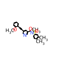 COc1ccccc1C#Cc1cncc(C(=O)N=S(C)(=O)c2ccc(C)c(C)c2)c1